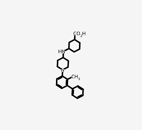 Cc1c(-c2ccccc2)cccc1N1CCC(NC2CCCC(C(=O)O)C2)CC1